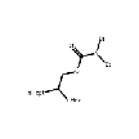 CCCCCCCC(CCCCCC)COC(=O)N(CC)CC